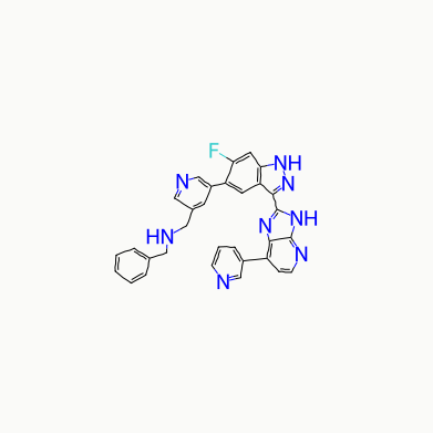 Fc1cc2[nH]nc(-c3nc4c(-c5cccnc5)ccnc4[nH]3)c2cc1-c1cncc(CNCc2ccccc2)c1